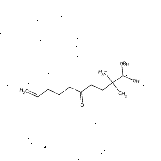 C=CCCCC(=O)CCC(C)(C)C(O)CCCC